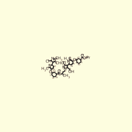 Cc1nc(-c2c(Cl)nn(C)c2C=O)ccc1O[C@H]1CCC[C@H](C(=O)OC(C)CCn2nc(Cl)c(-c3ccc(O[C@H]4CCC[C@H](C(=O)OC(C)C)C4)c(C)n3)c2CO)C1